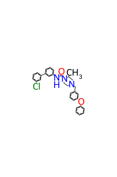 C[C@H]1CN(Cc2cccc(Oc3ccccc3)c2)CCN1C(=O)Nc1cccc(-c2cccc(Cl)c2)c1